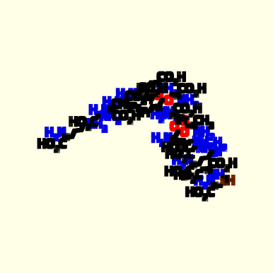 CC(C)C[C@H](N)C(=O)O.CC(C)C[C@H](N)C(=O)OC[C@H](N)C(=O)O.CC(C)[C@H](N)C(=O)O.CC(C)[C@H](N)C(=O)O.CC(C)[C@H](N)C(=O)O.CC(C)[C@H](N)C(=O)OC(=O)[C@H](C)N.C[C@H](N)C(=O)O.NCC(=O)O.NCC(=O)O.NCC(=O)O.NCCCC[C@H](N)C(=O)O.NCCCC[C@H](N)C(=O)O.N[C@@H](CC(=O)O)C(=O)O.N[C@@H](CS)C(=O)O